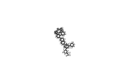 CS(C)(C)c1cccc(-c2cc(-c3ccccc3)nc(-c3ccc4cc(-c5cccc6c5-c5ccccc5C65c6ccccc6Sc6ccccc65)ccc4c3)n2)c1